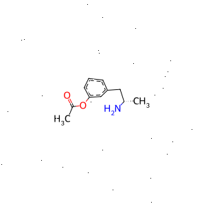 CC(=O)Oc1cccc(C[C@H](C)N)c1